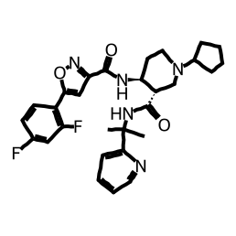 CC(C)(NC(=O)[C@H]1CN(C2CCCC2)CC[C@@H]1NC(=O)c1cc(-c2ccc(F)cc2F)on1)c1ccccn1